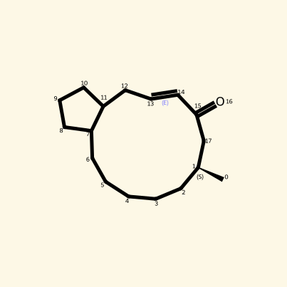 C[C@H]1CCCCCC2CCCC2C/C=C/C(=O)C1